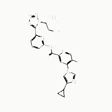 C[C@H](CO)n1nnnc1-c1cccc(NC(=O)c2cc(-n3cnc(C4CC4)c3)c(C(F)(F)F)cn2)n1